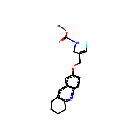 CC(C)(C)OC(=O)NC/C(=C\F)COc1ccc2nc3c(cc2c1)CCCC3